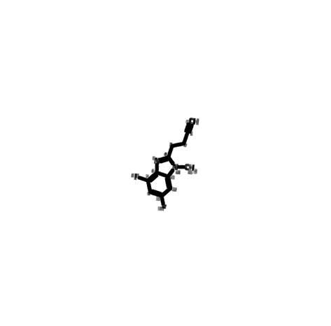 C#CCCc1nc2c(F)cc(F)cc2n1C